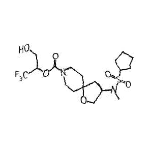 CN(C1COC2(CCN(C(=O)OC(CO)C(F)(F)F)CC2)C1)S(=O)(=O)C1CCCC1